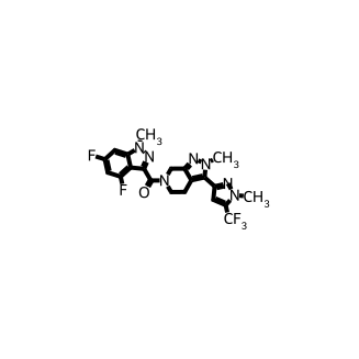 Cn1nc(-c2c3c(nn2C)CN(C(=O)c2nn(C)c4cc(F)cc(F)c24)CC3)cc1C(F)(F)F